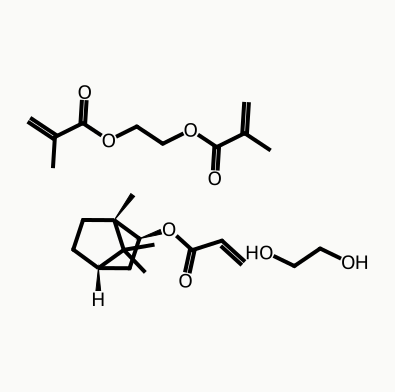 C=C(C)C(=O)OCCOC(=O)C(=C)C.C=CC(=O)O[C@H]1C[C@@H]2CC[C@@]1(C)C2(C)C.OCCO